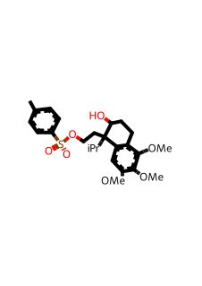 COc1cc2c(c(OC)c1OC)CCC(O)C2(CCOS(=O)(=O)c1ccc(C)cc1)C(C)C